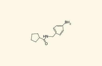 Bc1ccc(CNC(=O)C2CCCC2)cc1